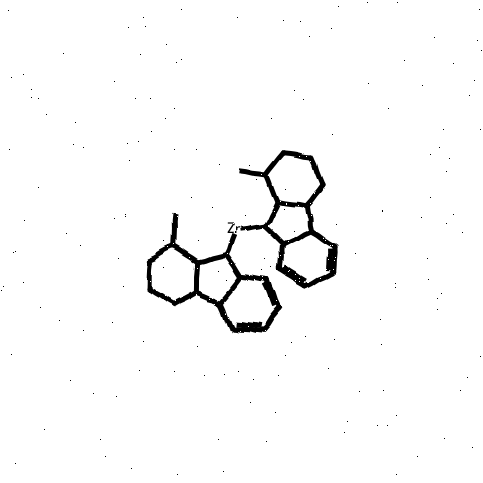 CC1CCCC2C3C=CC=CC3[CH]([Zr][CH]3C4C=CC=CC4C4CCCC(C)C43)C12